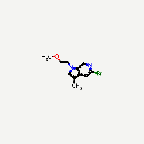 COCCn1cc(C)c2cc(Br)ncc21